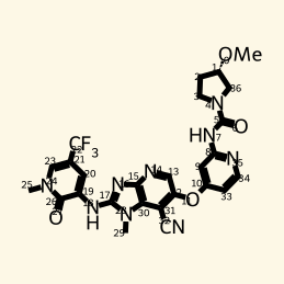 CO[C@H]1CCN(C(=O)Nc2cc(Oc3cnc4nc(Nc5cc(C(F)(F)F)cn(C)c5=O)n(C)c4c3C#N)ccn2)C1